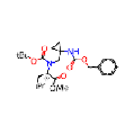 COC(=O)[C@@H](CC(C)C)N(CC1(NC(=O)OCc2ccccc2)CC1)C(=O)OC(C)(C)C